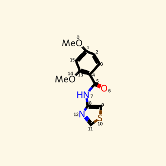 COc1ccc(C(=O)Nc2cscn2)c(OC)c1